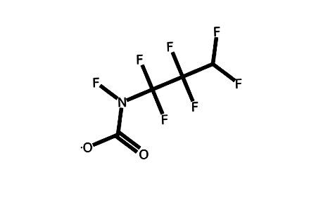 [O]C(=O)N(F)C(F)(F)C(F)(F)C(F)F